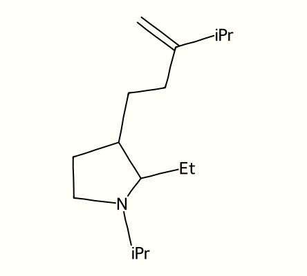 C=C(CCC1CCN(C(C)C)C1CC)C(C)C